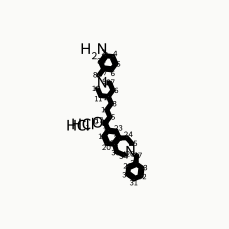 Cl.Cl.Nc1cccc(CN2CCC(CCCC(=O)c3ccc4c(c3)CCN(Cc3ccccc3)CC4)CC2)c1